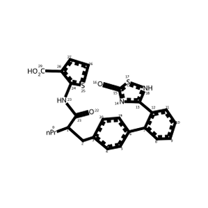 CCCC(Cc1ccc(-c2ccccc2-c2nc(=O)s[nH]2)cc1)C(=O)Nc1sccc1C(=O)O